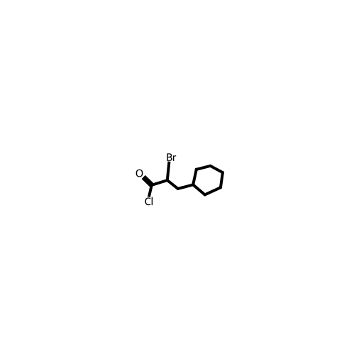 O=C(Cl)C(Br)CC1CCCCC1